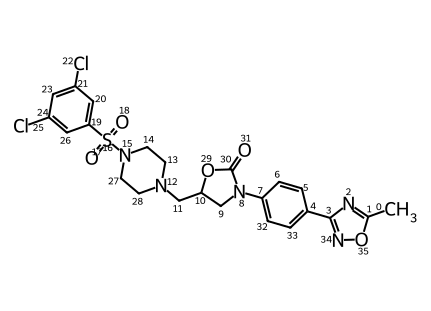 Cc1nc(-c2ccc(N3CC(CN4CCN(S(=O)(=O)c5cc(Cl)cc(Cl)c5)CC4)OC3=O)cc2)no1